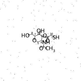 CC(=O)NC1COC(CO)C(O)C1OC(=O)CS